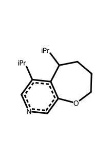 CC(C)c1cncc2c1C(C(C)C)CCCO2